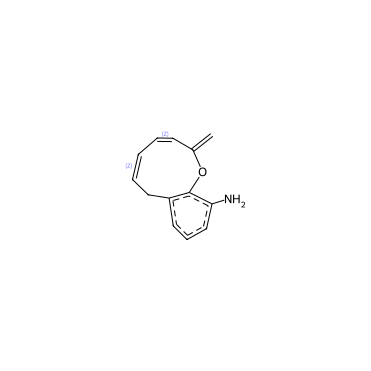 C=C1/C=C\C=C/Cc2cccc(N)c2O1